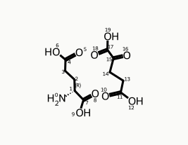 N[C@H](CCC(=O)O)C(=O)O.O=C(O)CCC(=O)C(=O)O